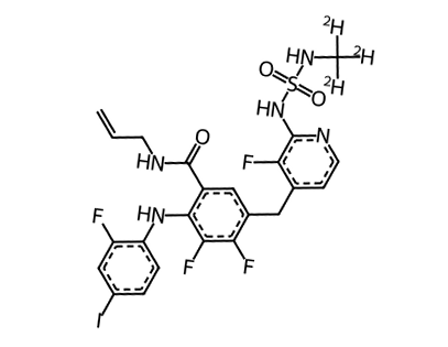 [2H]C([2H])([2H])NS(=O)(=O)Nc1nccc(Cc2cc(C(=O)NCC=C)c(Nc3ccc(I)cc3F)c(F)c2F)c1F